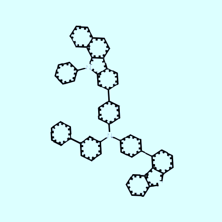 c1ccc(-c2cccc(N(c3ccc(-c4ccc5c6ccc7ccccc7c6n(-c6ccccc6)c5c4)cc3)c3ccc(-c4cccc5sc6ccccc6c45)cc3)c2)cc1